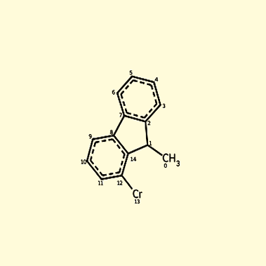 CC1c2ccccc2-c2ccc[c]([Cr])c21